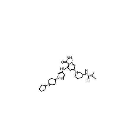 CN(C)C(=O)NC1CCCN(c2cnc(C(N)=O)c(Nc3cnn(C4CCN(C5CCCC5)CC4)c3)n2)C1